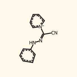 N#C/C(=N/Nc1ccccc1)[n+]1ccccc1